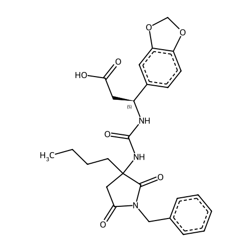 CCCCC1(NC(=O)N[C@@H](CC(=O)O)c2ccc3c(c2)OCO3)CC(=O)N(Cc2ccccc2)C1=O